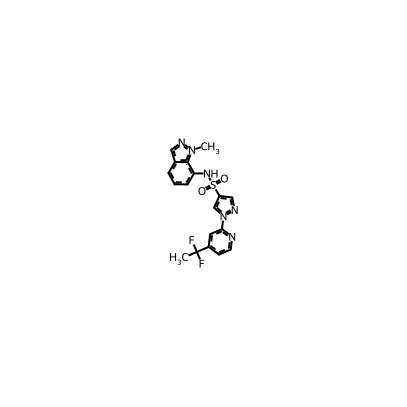 Cn1ncc2cccc(NS(=O)(=O)c3cnn(-c4cc(C(C)(F)F)ccn4)c3)c21